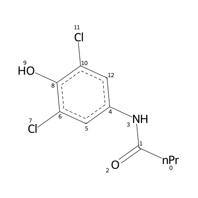 CCCC(=O)Nc1cc(Cl)c(O)c(Cl)c1